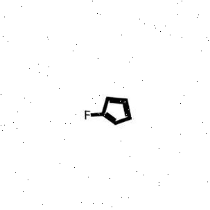 FC1=CC=C=C1